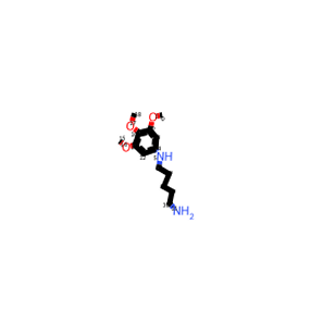 COc1cc(NCCCCCN)cc(OC)c1OC